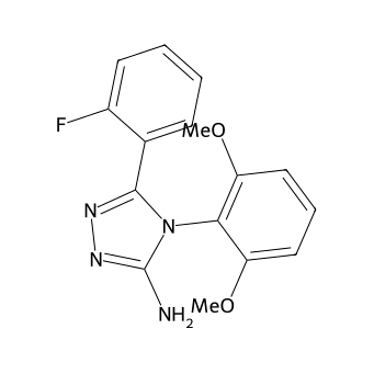 COc1cccc(OC)c1-n1c(N)nnc1-c1ccccc1F